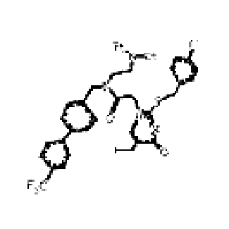 CCN(CC)CCN(Cc1ccc(-c2ccc(C(F)(F)F)cc2)cc1)C(=O)Cn1cc(CI)c(=O)nc1SCc1ccc(F)cc1